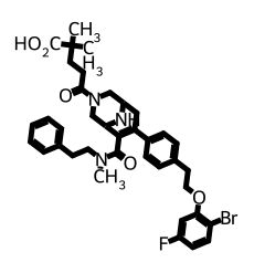 CN(CCc1ccccc1)C(=O)C1=C(c2ccc(CCOc3cc(F)ccc3Br)cc2)CC2CN(C(=O)CCC(C)(C)C(=O)O)CC1N2